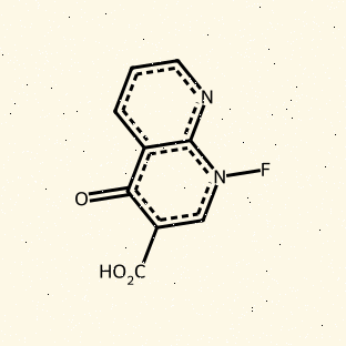 O=C(O)c1cn(F)c2ncccc2c1=O